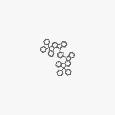 c1ccc(C2(c3ccccc3)c3ccccc3-c3c2ccc2c4ccccc4n(-c4cccc(-n5c6ccccc6c6ccc7c(c65)-c5ccccc5C7(c5ccccc5)c5ccccc5)n4)c32)cc1